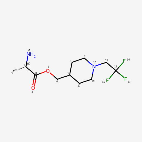 C[C@H](N)C(=O)OCC1CCN(CC(F)(F)F)CC1